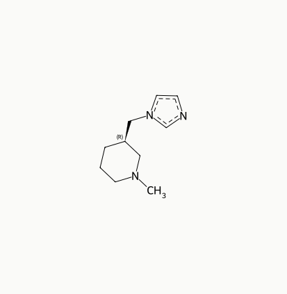 CN1CCC[C@@H](Cn2ccnc2)C1